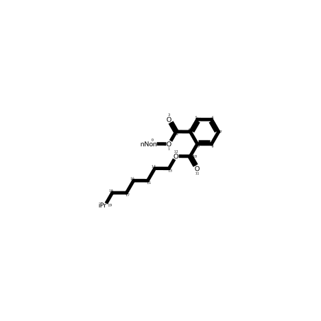 CCCCCCCCCOC(=O)c1ccccc1C(=O)OCCCCCCC(C)C